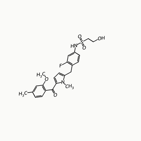 COc1cc(C)ccc1C(=O)c1ccc(Cc2ccc(NS(=O)(=O)CCO)cc2F)n1C